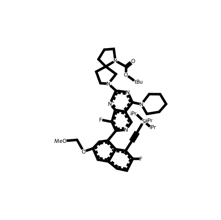 COCOc1cc(-c2ncc3c(N4CCCCC4)nc(N4CCC5(CCCN5C(=O)OC(C)(C)C)C4)nc3c2F)c2c(C#C[Si](C(C)C)(C(C)C)C(C)C)c(F)ccc2c1